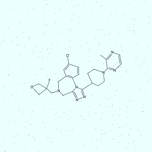 Cc1nccnc1N1CCC(c2nnc3n2-c2ccc(Cl)cc2CN(CC2(F)COC2)C3)CC1